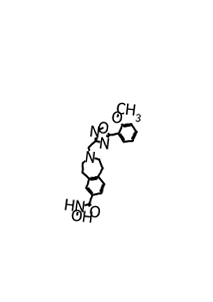 COc1ccccc1-c1nc(CN2CCc3ccc(C(=O)NO)cc3CC2)no1